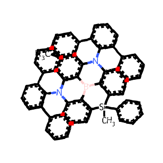 Cc1cc2c3c(c1)N(c1c(-c4ccccc4)cccc1-c1ccccc1)c1cccc4c1B3c1c(cccc1[Si]4(C)c1ccccc1)N2c1c(-c2ccccc2)cccc1-c1ccccc1